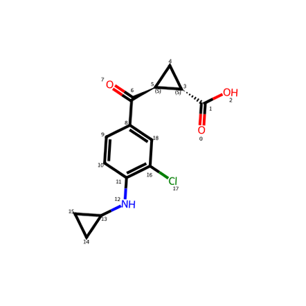 O=C(O)[C@H]1C[C@@H]1C(=O)c1ccc(NC2CC2)c(Cl)c1